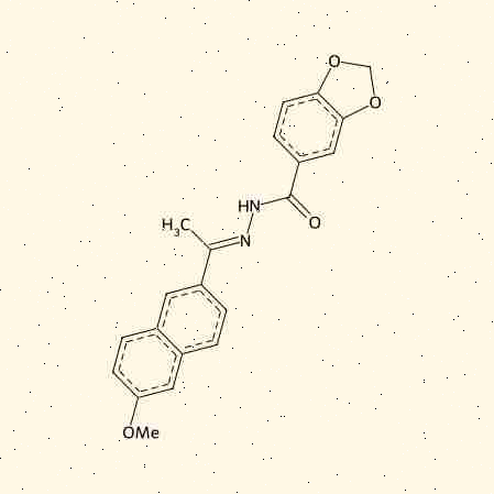 COc1ccc2cc(/C(C)=N/NC(=O)c3ccc4c(c3)OCO4)ccc2c1